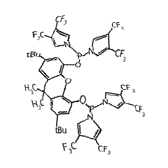 CC(C)(C)c1cc(OP(n2cc(C(F)(F)F)c(C(F)(F)F)c2)n2cc(C(F)(F)F)c(C(F)(F)F)c2)c2c(c1)C(C)(C)c1cc(C(C)(C)C)cc(OP(n3cc(C(F)(F)F)c(C(F)(F)F)c3)n3cc(C(F)(F)F)c(C(F)(F)F)c3)c1O2